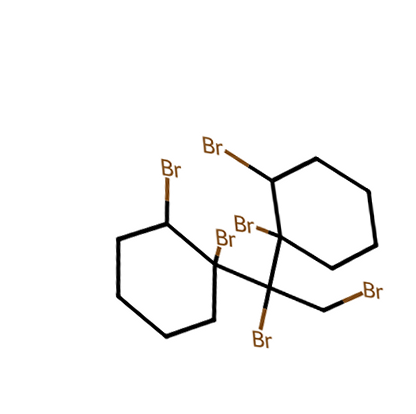 BrCC(Br)(C1(Br)CCCCC1Br)C1(Br)CCCCC1Br